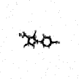 Cc1nn(-c2ccc(F)cn2)c(C)c1N